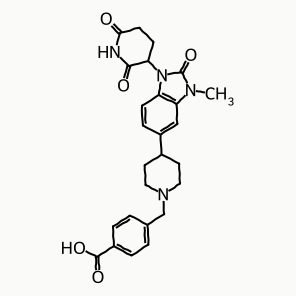 Cn1c(=O)n(C2CCC(=O)NC2=O)c2ccc(C3CCN(Cc4ccc(C(=O)O)cc4)CC3)cc21